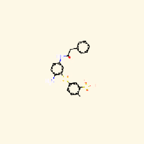 Cc1ccc(S(=O)(=O)c2cc(NC(=O)Cc3ccccc3)ccc2N)cc1S(=O)(=O)O